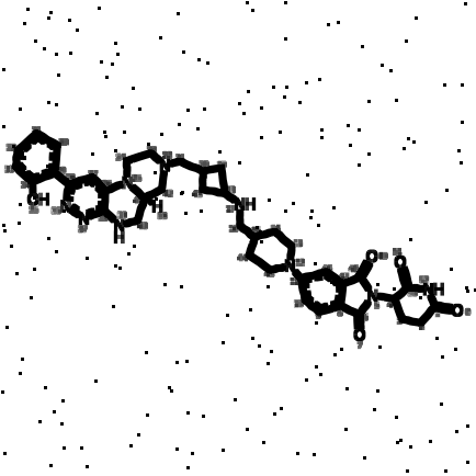 O=C1CCC(N2C(=O)c3ccc(N4CCC(CNC5CC(CN6CCN7c8cc(-c9ccccc9O)nnc8NC[C@H]7C6)C5)CC4)cc3C2=O)C(=O)N1